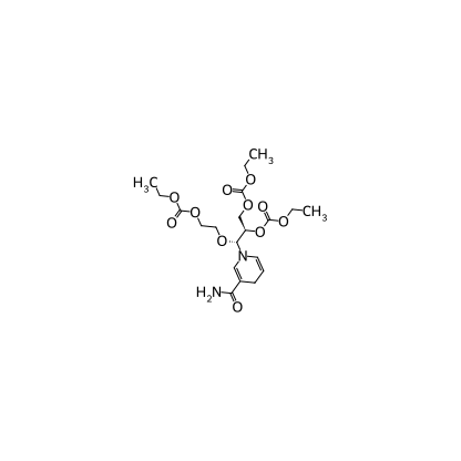 CCOC(=O)OCCO[C@H]([C@@H](COC(=O)OCC)OC(=O)OCC)N1C=CCC(C(N)=O)=C1